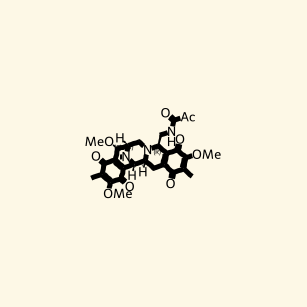 COC1=C(C)C(=O)C2=C(C1=O)[C@@H]1[C@@H]3CC4=C(C(=O)C(OC)=C(C)C4=O)[C@H](CNC(=O)C(C)=O)N3C[C@H]([C@H]2OC)N1C